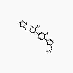 O=C1O[C@@H](Cn2cnnn2)CN1c1ccc(-n2cnc(CO)c2)c(F)c1